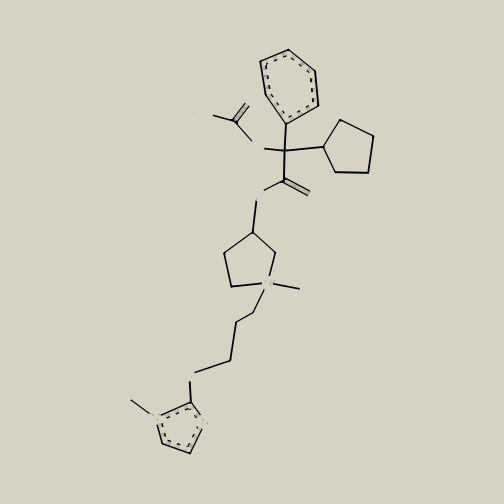 Cn1ccnc1SCCC[N+]1(C)CCC(OC(=O)C(OC(=O)C(F)(F)F)(c2ccccc2)C2CCCC2)C1